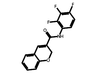 O=C(Nc1ccc(F)c(F)c1F)C1=Cc2ccccc2OC1